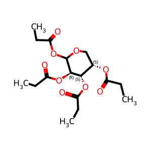 CCC(=O)OC1OC[C@H](OC(=O)CC)[C@H](OC(=O)CC)[C@H]1OC(=O)CC